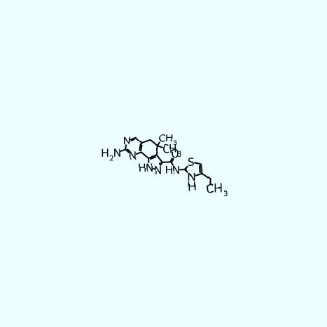 CCC1=CSC(NC(=O)c2n[nH]c3c2C(C)(C)Cc2cnc(N)nc2-3)N1